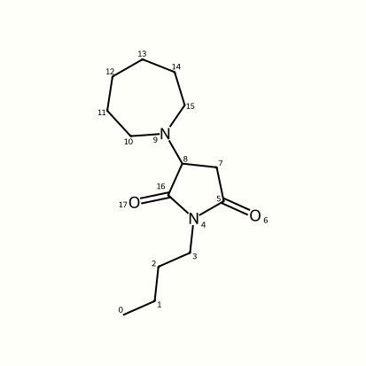 CCCCN1C(=O)CC(N2CCCCCC2)C1=O